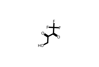 O=C(CO)C(=O)C(F)(F)F